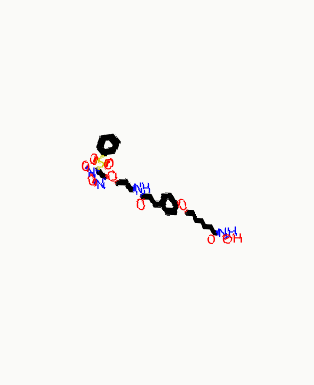 O=C(CCCCCCOc1ccc(CCC(=O)NCCCOc2no[n+]([O-])c2S(=O)(=O)c2ccccc2)cc1)NO